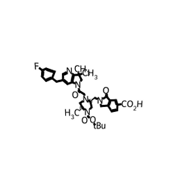 C[C@@H]1CN(CC(=O)N2CC(C)(C)c3ncc(Cc4ccc(F)cc4)cc32)[C@@H](CN2Cc3ccc(C(=O)O)cc3C2=O)CN1C(=O)OC(C)(C)C